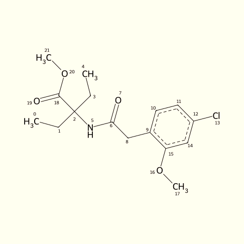 CCC(CC)(NC(=O)Cc1ccc(Cl)cc1OC)C(=O)OC